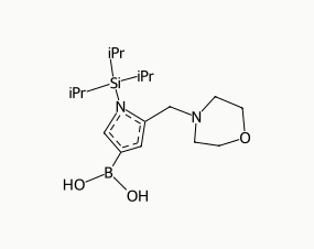 CC(C)[Si](C(C)C)(C(C)C)n1cc(B(O)O)cc1CN1CCOCC1